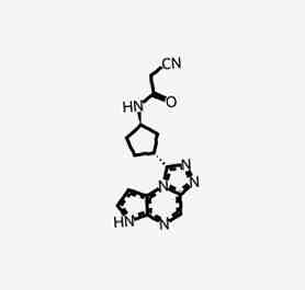 N#CCC(=O)N[C@@H]1CC[C@@H](c2nnc3cnc4[nH]ccc4n23)C1